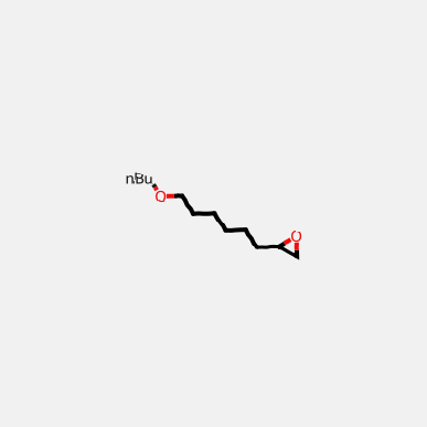 CCCCOCCCCCCC1CO1